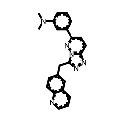 CN(C)c1cccc(-c2ccc3nnc(Cc4ccc5ncccc5c4)n3n2)c1